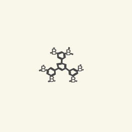 CB(C)c1cc(B(C)C)cc(-c2cc(-c3cc(B(C)C)cc(B(C)C)c3)cc(-c3cc(B(C)C)cc(B(C)C)c3)c2)c1